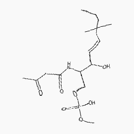 CCC(C)(C)C=CC(O)C(COP(=O)(O)OC)NC(=O)CC(C)=O